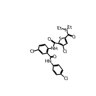 CCN(CC)C(=O)c1cc(Cl)c(C(=O)Nc2ccc(Cl)cc2C(=O)Nc2ccc(Cl)cc2)s1